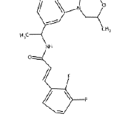 CC1CN(c2cccc(C(C)NC(=O)C=Cc3cccc(F)c3F)c2)CCO1